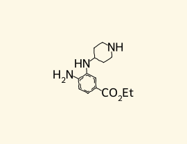 CCOC(=O)c1ccc(N)c(NC2CCNCC2)c1